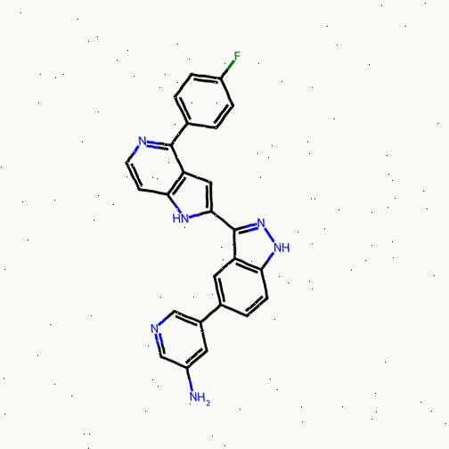 Nc1cncc(-c2ccc3[nH]nc(-c4cc5c(-c6ccc(F)cc6)nccc5[nH]4)c3c2)c1